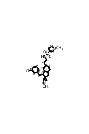 CN1C2C1C21Cc2ccc(CCNS(=O)(=O)c3cnn(C)c3)cc2C1Cc1cccc(Cl)c1